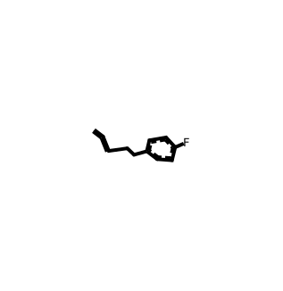 C=C=CCCc1ccc(F)cc1